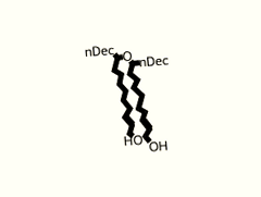 CCCCCCCCCCC(CCCCCCC=CCO)OC(CCCCCCC=CCO)CCCCCCCCCC